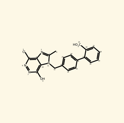 Cc1nc2c(Cl)nnc(O)c2n1Cc1ccc(-c2ccccc2C(=O)O)cc1